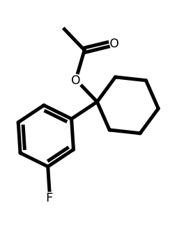 CC(=O)OC1(c2cccc(F)c2)CCCCC1